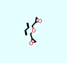 C(OCC1CO1)C1CO1.C=CC=C